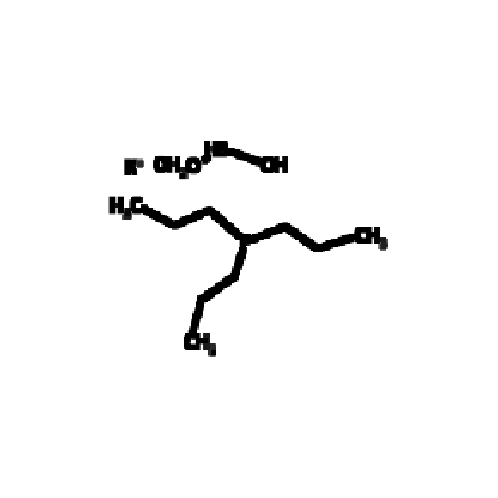 CCCP(CCC)CCC.O.[K+].[O-]BO